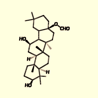 CC1(C)CC[C@]2(OC=O)CC[C@]3(C)C(C2C1)[C@H](O)C[C@@H]1[C@@]2(C)CC[C@H](O)C(C)(C)[C@@H]2CC[C@]13C